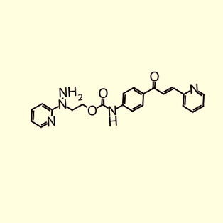 NN(CCOC(=O)Nc1ccc(C(=O)/C=C/c2ccccn2)cc1)c1ccccn1